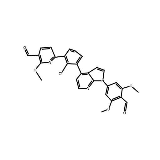 COc1cc(-n2ccc3c(-c4cccc(-c5ccc(C=O)c(OC)n5)c4Cl)ccnc32)cc(OC)c1C=O